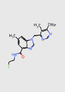 COc1ncnc(Cn2cnc3c(C(=O)NCCF)cc(C)cc32)c1C